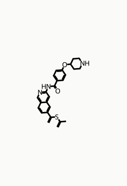 C=C(C)SC(=C)c1ccc2cnc(NC(=O)c3ccc(OC4CCNCC4)cc3)cc2c1